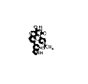 CC(=O)N1CCC(n2c(=O)[nH]c(=O)c3cnc4ccc(-c5cnc6[nH]ccc6c5)nc4c32)CC1